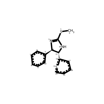 CSC1=N[C@H](c2ccccc2)[C@@H](c2ccccc2)N1